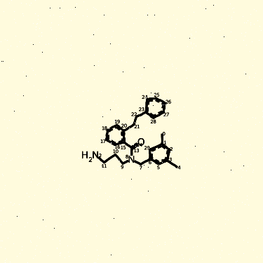 Cc1cc(C)cc(CN(CCCN)C(=O)c2ccccc2CCc2ccccc2)c1